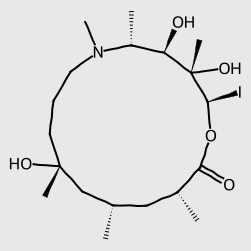 C[C@H]1C[C@@H](C)C(=O)O[C@H](I)[C@@](C)(O)[C@H](O)[C@@H](C)N(C)CCC[C@@](C)(O)C1